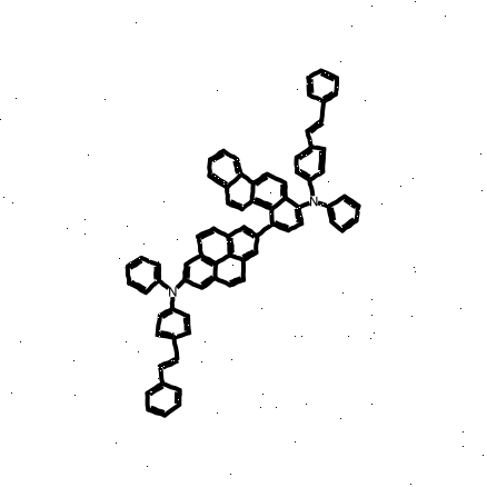 C(=Cc1ccc(N(c2ccccc2)c2cc3ccc4cc(-c5ccc(N(c6ccccc6)c6ccc(C=Cc7ccccc7)cc6)c6ccc7c8ccccc8ccc7c56)cc5ccc(c2)c3c45)cc1)c1ccccc1